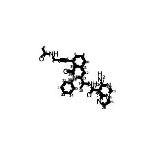 CC(=O)NCC#Cc1cccc2cc(C(C)NC(=O)c3c(N)ncn4ccnc34)n(-c3ccccc3)c(=O)c12